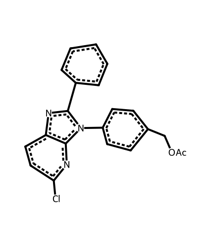 CC(=O)OCc1ccc(-n2c(-c3ccccc3)nc3ccc(Cl)nc32)cc1